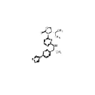 CC(C)[C@H]1COC(=O)N1c1ccnc(N[C@H](C)c2ccc(-n3ccnc3)cc2)n1